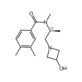 Cc1ccc(C(=O)N(C)[C@@H](C)CN2CC(O)C2)cc1C